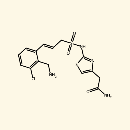 NCc1c(Cl)cccc1C=CCS(=O)(=O)Nc1nc(CC(N)=O)cs1